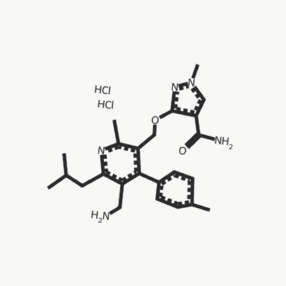 Cc1ccc(-c2c(COc3nn(C)cc3C(N)=O)c(C)nc(CC(C)C)c2CN)cc1.Cl.Cl